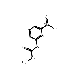 COC(=O)[CH]c1cccc([N+](=O)[O-])c1